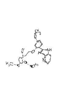 COc1ccc(-c2nc3ncccc3[nH]2)c(OCC[S+]([O-])c2ccc(OC)cc2OC)c1